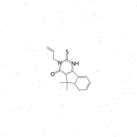 C=CCn1c(=S)[nH]c2c(c1=O)C(C)(C)C1CC=CC=C21